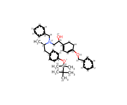 C[C@H](Cc1ccc(O[Si](C)(C)C(C)(C)C)cc1)N(Cc1ccccc1)C[C@@H](O)C1=CC=C(OCc2ccccc2)[CH]C1